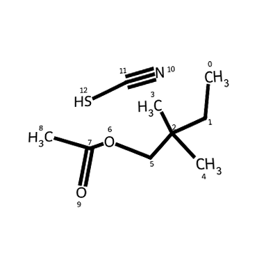 CCC(C)(C)COC(C)=O.N#CS